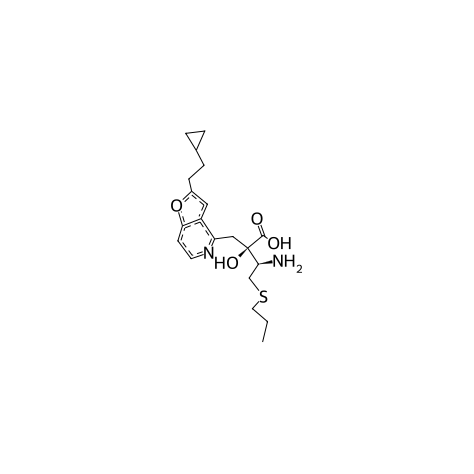 CCCSC[C@H](N)[C@](O)(Cc1nccc2oc(CCC3CC3)cc12)C(=O)O